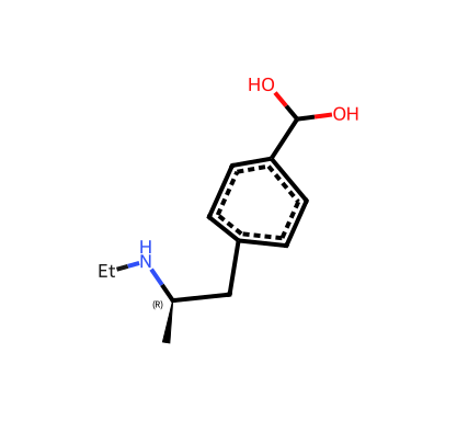 CCN[C@H](C)Cc1ccc(C(O)O)cc1